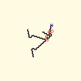 CCCCC/C=C\C/C=C\CCCCCCCCC(CCCCCCCC/C=C\C/C=C\CCCCC)OC(=O)CC1CCC(OC(=O)CCCN(C)C)C1CCCCC